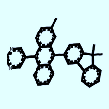 Cc1ccc2c(-c3cncnc3)c3ccccc3c(-c3ccc4c(c3)-c3ccccc3C4(C)C)c2c1